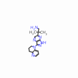 CC(C)(CN)c1cnc2c(N3CCCc4ncccc43)n[nH]c2n1